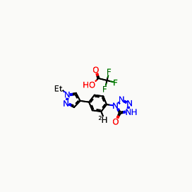 O=C(O)C(F)(F)F.[2H]c1cc(-c2cnn(CC)c2)ccc1-n1nn[nH]c1=O